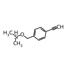 C#Cc1ccc(CO[SiH](C)C)cc1